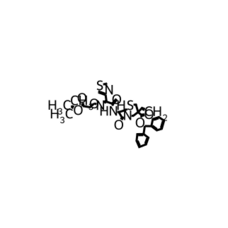 C=CC1(C(=O)OC(c2ccccc2)c2ccccc2)CS[C@@H]2C(NC(=O)C(=NOCC(=O)OC(C)(C)C)c3cscn3)C(=O)N2C1